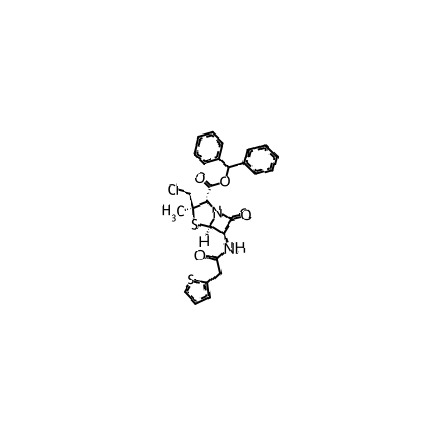 C[C@@]1(CCl)S[C@@H]2[C@H](NC(=O)Cc3cccs3)C(=O)N2[C@H]1C(=O)OC(c1ccccc1)c1ccccc1